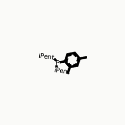 CCCC(C)P(c1ccc(C)cc1C)C(C)CCC